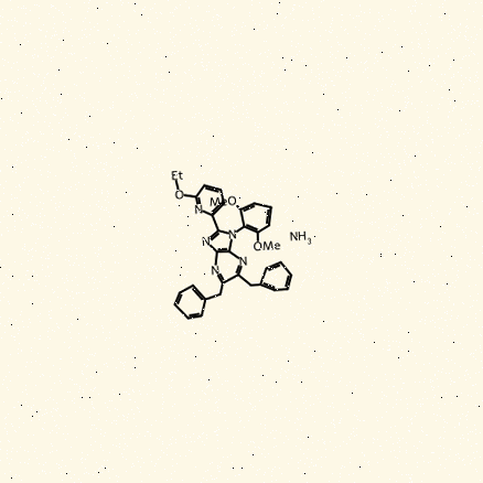 CCOc1cccc(-c2nc3nc(Cc4ccccc4)c(Cc4ccccc4)nc3n2-c2c(OC)cccc2OC)n1.N